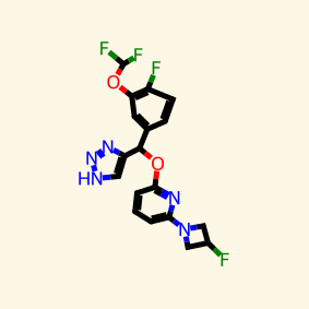 Fc1ccc(C(Oc2cccc(N3CC(F)C3)n2)c2c[nH]nn2)cc1OC(F)F